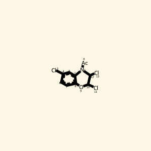 CC(=O)N1c2cc(Cl)ccc2OC(Cl)C1Cl